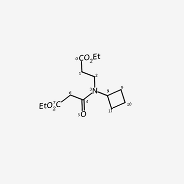 CCOC(=O)CCN(C(=O)CC(=O)OCC)C1CCC1